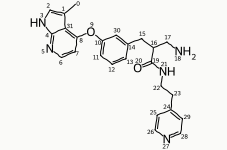 Cc1c[nH]c2nccc(Oc3cccc(CC(CN)C(=O)NCCc4ccncc4)c3)c12